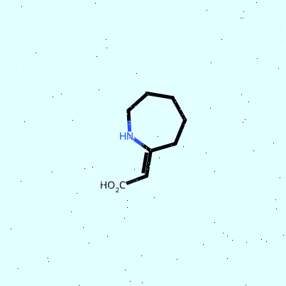 O=C(O)C=C1CCCCCN1